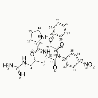 N=C(N)NCCC[C@H](NC(=O)[C@@H]1CCCN1)C(=O)N(C(=O)COc1ccccc1)c1ccc([N+](=O)[O-])cc1